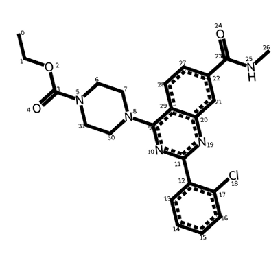 CCOC(=O)N1CCN(c2nc(-c3ccccc3Cl)nc3cc(C(=O)NC)ccc23)CC1